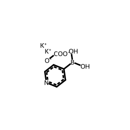 O=C([O-])[O-].OB(O)c1ccncc1.[K+].[K+]